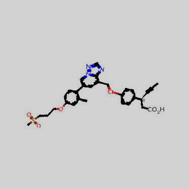 CC#C[C@@H](CC(=O)O)c1ccc(OCc2cc(-c3ccc(OCCCS(C)(=O)=O)cc3C)cn3ncnc23)cc1